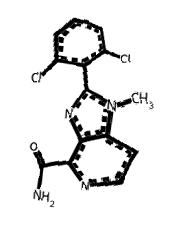 Cn1c(-c2c(Cl)cccc2Cl)nc2c(C(N)=O)nccc21